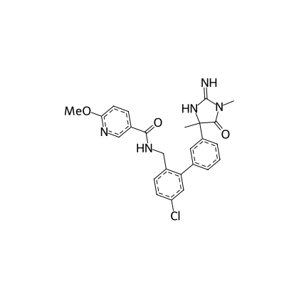 COc1ccc(C(=O)NCc2ccc(Cl)cc2-c2cccc(C3(C)NC(=N)N(C)C3=O)c2)cn1